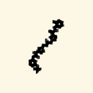 O=C(Cc1cccc(OC(F)(F)F)c1)Nc1cn(CCC(F)Cn2cc(C(=O)NCc3ncccc3F)nn2)nn1